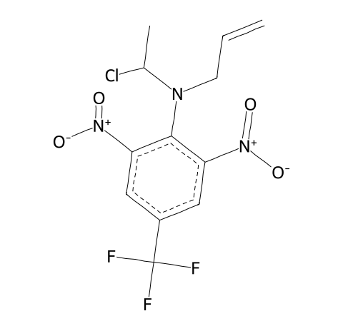 C=CCN(c1c([N+](=O)[O-])cc(C(F)(F)F)cc1[N+](=O)[O-])C(C)Cl